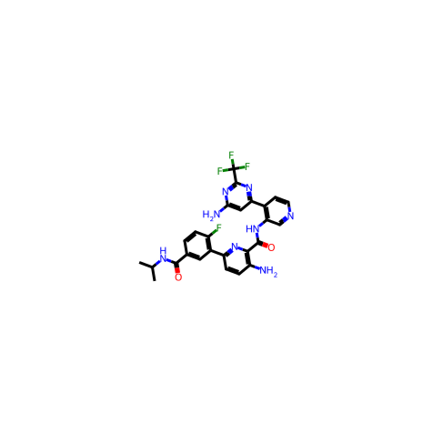 CC(C)NC(=O)c1ccc(F)c(-c2ccc(N)c(C(=O)Nc3cnccc3-c3cc(N)nc(C(F)(F)F)n3)n2)c1